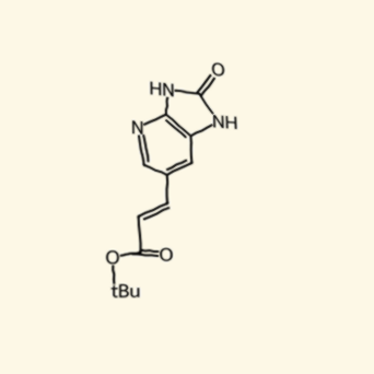 CC(C)(C)OC(=O)/C=C/c1cnc2[nH]c(=O)[nH]c2c1